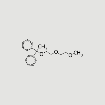 COCCOCCOC(C)(c1ccccc1)c1ccccc1